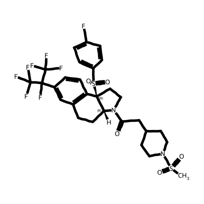 CS(=O)(=O)N1CCC(CC(=O)N2CC[C@@]3(S(=O)(=O)c4ccc(F)cc4)c4ccc(C(F)(C(F)(F)F)C(F)(F)F)cc4CC[C@@H]23)CC1